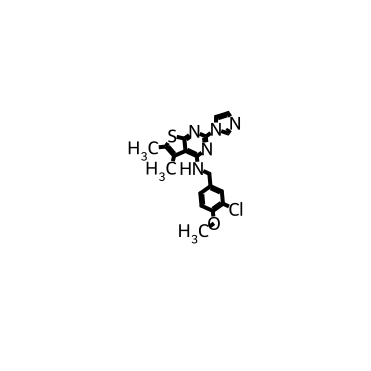 COc1ccc(CNc2nc(-n3ccnc3)nc3sc(C)c(C)c23)cc1Cl